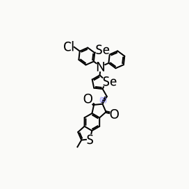 Cc1cc2cc3c(cc2s1)C(=O)/C(=C/c1ccc(N2c4ccccc4[Se]c4cc(Cl)ccc42)[se]1)C3=O